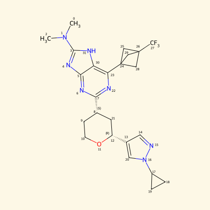 CN(C)c1nc2nc([C@H]3CCO[C@@H](c4cnn(C5CC5)c4)C3)nc(C34CC(C(F)(F)F)(C3)C4)c2[nH]1